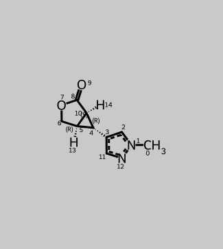 Cn1cc([C@@H]2[C@H]3COC(=O)[C@H]32)cn1